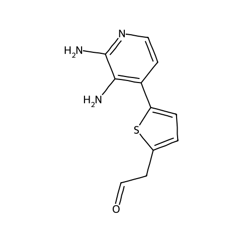 Nc1nccc(-c2ccc(CC=O)s2)c1N